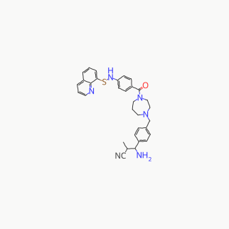 CC(C#N)C(N)c1ccc(CN2CCCN(C(=O)c3ccc(NSc4cccc5cccnc45)cc3)CC2)cc1